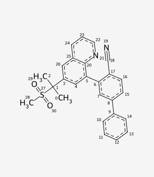 CC(C)(c1cc(-c2cc(-c3ccccc3)ccc2C#N)c2ncccc2c1)S(C)(=O)=O